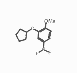 COc1ccc(N(F)F)cc1OC1CCCC1